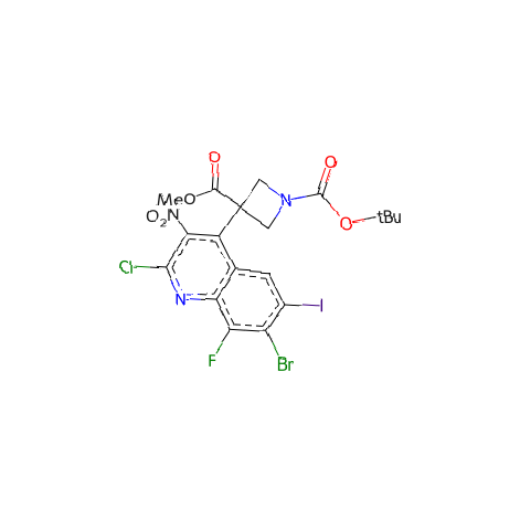 COC(=O)C1(c2c([N+](=O)[O-])c(Cl)nc3c(F)c(Br)c(I)cc23)CN(C(=O)OC(C)(C)C)C1